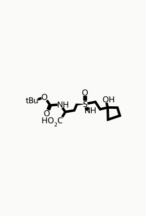 CC(C)(C)OC(=O)NC(CC[S@@](=N)(=O)CCC1(O)CCC1)C(=O)O